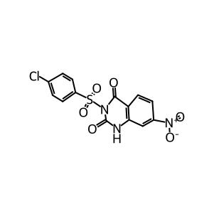 O=c1[nH]c2cc([N+](=O)[O-])ccc2c(=O)n1S(=O)(=O)c1ccc(Cl)cc1